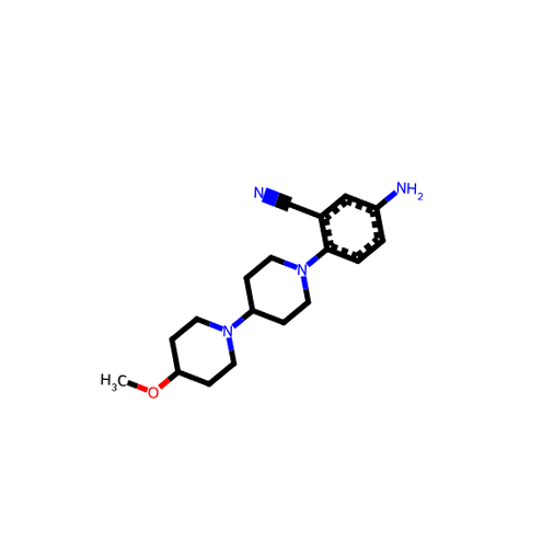 COC1CCN(C2CCN(c3ccc(N)cc3C#N)CC2)CC1